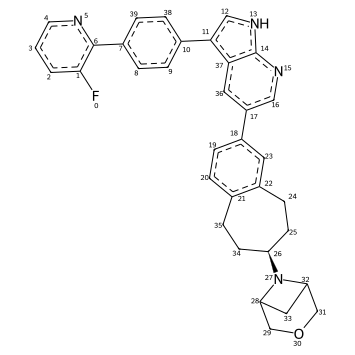 Fc1cccnc1-c1ccc(-c2c[nH]c3ncc(-c4ccc5c(c4)CC[C@@H](N4C6COCC4C6)CC5)cc23)cc1